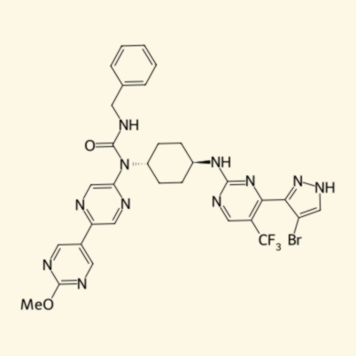 COc1ncc(-c2cnc(N(C(=O)NCc3ccccc3)[C@H]3CC[C@H](Nc4ncc(C(F)(F)F)c(-c5n[nH]cc5Br)n4)CC3)cn2)cn1